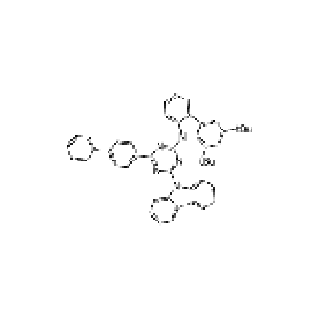 CC(C)(C)c1cc(C(C)(C)C)c2c(c1)c1ccccc1n2-c1nc(-c2ccc(-c3ccccc3)cc2)nc(-n2c3ccccc3c3ccccc32)n1